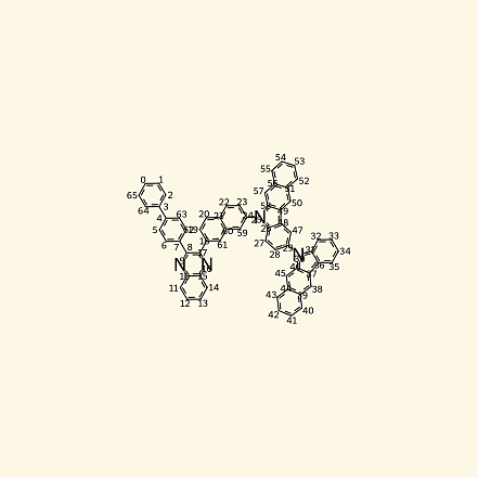 c1ccc(-c2ccc(-c3nc4ccccc4nc3-c3ccc4ccc(-n5c6ccc(-n7c8ccccc8c8cc9ccccc9cc87)cc6c6cc7ccccc7cc65)cc4c3)cc2)cc1